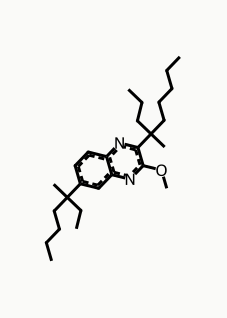 CCCCCC(C)(CCC)c1nc2ccc(C(C)(CC)CCCC)cc2nc1OC